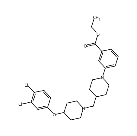 CCOC(=O)c1cccc(N2CCC(CN3CCC(Oc4ccc(Cl)c(Cl)c4)CC3)CC2)c1